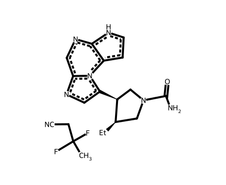 CC(F)(F)CC#N.CC[C@@H]1CN(C(N)=O)C[C@@H]1c1cnc2cnc3[nH]ccc3n12